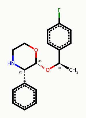 C[C@@H](O[C@H]1OCCN[C@H]1c1ccccc1)c1ccc(F)cc1